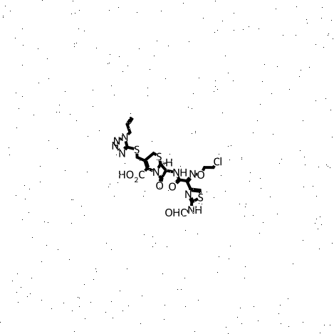 C=CCn1nnnc1SCC1=C(C(=O)O)N2C(=O)C(NC(=O)C(=NOCCCl)c3csc(NC=O)n3)[C@@H]2SC1